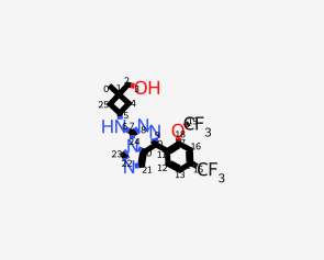 CC1(CO)CC(Nc2nnc(-c3ccc(C(F)(F)F)cc3OC(F)(F)F)c3cncn23)C1